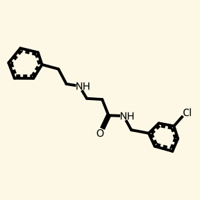 O=C(CCNCCc1ccccc1)NCc1cccc(Cl)c1